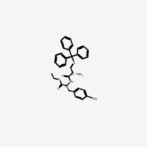 CCOC(=O)[C@H](Cc1ccc(O)cc1)NC(=O)[C@@H](N)CSC(c1ccccc1)(c1ccccc1)c1ccccc1